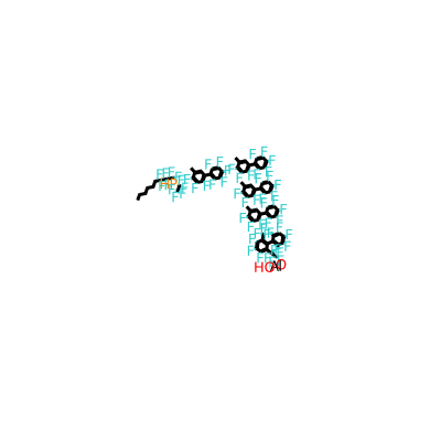 CCCCCCC(F)(F)C(F)(F)C(F)(F)PC(F)(F)C(F)(F)F.Cc1cc(-c2c(F)c(F)c(F)c(F)c2F)c(F)c(F)c1F.Cc1cc(-c2c(F)c(F)c(F)c(F)c2F)c(F)c(F)c1F.Cc1cc(-c2c(F)c(F)c(F)c(F)c2F)c(F)c(F)c1F.Cc1cc(-c2c(F)c(F)c(F)c(F)c2F)c(F)c(F)c1F.Fc1c(F)c(F)c(-c2c(C(F)(F)F)c(F)c(F)c(F)c2C(F)(F)C(F)(F)F)c(F)c1F.[O]=[Al][OH]